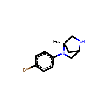 Brc1ccc(N2CC3C[C@@H]2CN3)cc1